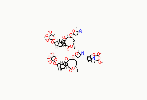 CC[C@H]1CCC[C@H](O[C@H]2CC[C@H](N(C)C)[C@@H](C)O2)[C@@H](C)C(=O)C2=C[C@@H]3[C@@H](C=C(C)[C@@H]4C[C@@H](O[C@@H]5O[C@@H](C)[C@H](OC)[C@@H](OC)[C@H]5OC)C[C@@H]34)[C@@H]2CC(=O)O1.CC[C@H]1CCC[C@H](O[C@H]2CC[C@H](N(C)C)[C@@H](C)O2)[C@@H](C)C(=O)C2=C[C@@H]3[C@@H](C=C[C@@H]4C[C@@H](O[C@@H]5O[C@@H](C)[C@H](OC)[C@@H](OC)[C@H]5OC)C[C@@H]34)[C@@H]2CC(=O)O1.COCC(=O)N(c1c(C)cccc1C)[C@H](C)C(=O)OC